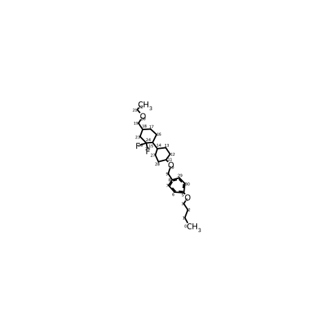 CCCCOc1ccc(COC2CCC(C3CCC(COCC)CC3(F)F)CC2)cc1